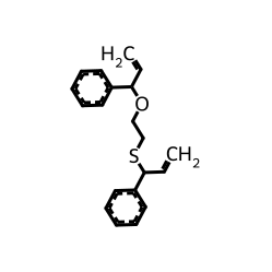 C=CC(OCCSC(C=C)c1ccccc1)c1ccccc1